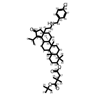 CC(C)C1=C2C3CCC4C5(C)CCC(OC(=O)CC(C)(C)C(=O)OC(C)(C)C)C(C)(C)C5CCC4(C)[C@]3(C)CCC2(CCNCc2ccc(Cl)cc2)CC1=O